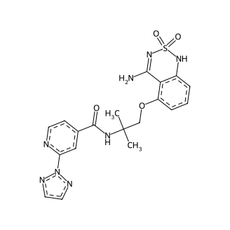 CC(C)(COc1cccc2c1C(N)=NS(=O)(=O)N2)NC(=O)c1ccnc(-n2nccn2)c1